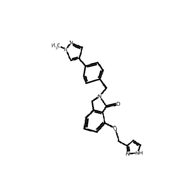 Cn1cc(-c2ccc(CN3Cc4cccc(OCc5cc[nH]n5)c4C3=O)cc2)cn1